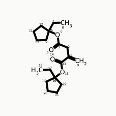 C=C(CC(=O)OC1(CC)CCCC1)C(=O)OC1(CC)CCCC1